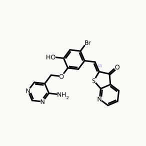 Nc1ncncc1COc1cc(/C=C2\Sc3ncccc3C2=O)c(Br)cc1O